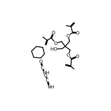 C1CCCCC1.C=C(C)C(=O)OCC(CO)(COC(=O)C(=C)C)COC(=O)C(=C)C.N=C=O.N=C=O